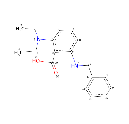 CCN(CC)c1cccc(NCc2ccccc2)c1C(=O)O